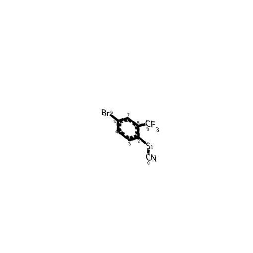 N#CSc1ccc(Br)cc1C(F)(F)F